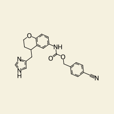 N#Cc1ccc(COC(=O)Nc2ccc3c(c2)C(Cc2c[nH]cn2)CCO3)cc1